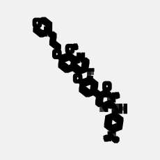 COc1c(OCCCN2CCOCC2)ccc2c(Oc3ccc(-c4cnc(Nc5ccc(N(C)C)cc5)n(C)c4=O)cc3F)ccnc12